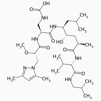 CO[C@@H](Cn1nc(C)cc1C)C(=O)N[C@@H](CNC(=O)O)C(=O)N[C@@H](CC(C)C)[C@@H](O)C[C@@H](C)C(=O)N[C@H](C(=O)NCC(C)C)C(C)C